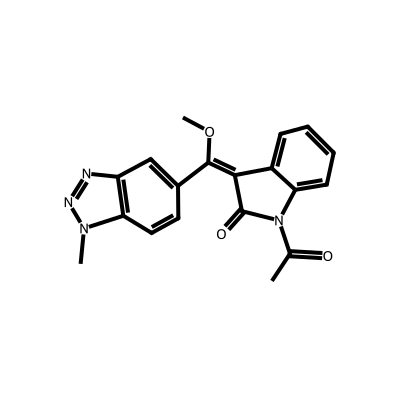 CO/C(=C1/C(=O)N(C(C)=O)c2ccccc21)c1ccc2c(c1)nnn2C